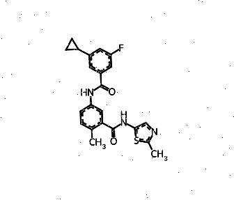 Cc1ncc(NC(=O)c2cc(NC(=O)c3cc(F)cc(C4CC4)c3)ccc2C)s1